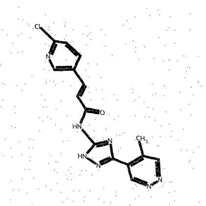 Cc1cnncc1-c1n[nH]c(NC(=O)C=Cc2ccc(Cl)nc2)n1